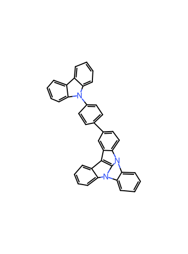 c1ccc2c(c1)c1ccccc1n2-c1ccc(-c2ccc3c(c2)c2c4ccccc4n4c5ccccc5n3c24)cc1